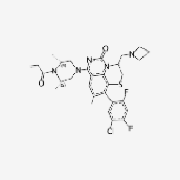 C=CC(=O)N1[C@H](C)CN(c2nc(=O)n3c4c(c(-c5cc(Cl)c(F)cc5F)c(C)cc24)SCC3CN2CCC2)C[C@@H]1C